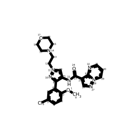 COc1ccc(Cl)cc1-c1nn(CCN2CCOCC2)cc1NC(=O)c1cnn2cccnc12